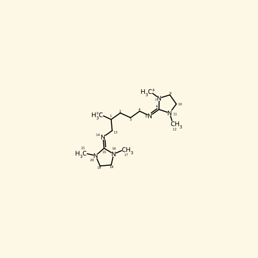 CC(CCCN=C1N(C)CCN1C)CN=C1N(C)CCN1C